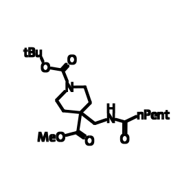 CCCCCC(=O)NCC1(C(=O)OC)CCN(C(=O)OC(C)(C)C)CC1